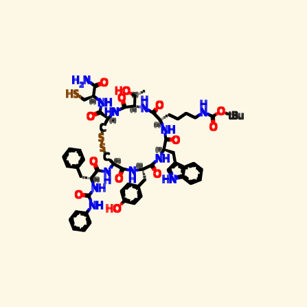 C[C@@H](O)[C@@H]1NC(=O)[C@H](CCCCNC(=O)OC(C)(C)C)NC(=O)[C@@H](Cc2c[nH]c3ccccc23)NC(=O)[C@H](Cc2ccc(O)cc2)NC(=O)[C@@H](NC(=O)[C@@H](Cc2ccccc2)NC(=O)Nc2ccccc2)CSSC[C@@H](C(=O)N[C@@H](CS)C(N)=O)NC1=O